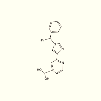 CC(C)C(c1ccccc1)n1cnc(-c2cc(C(O)O)ccn2)c1